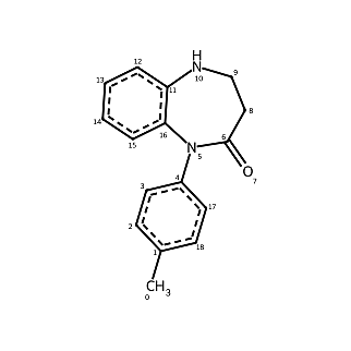 Cc1ccc(N2C(=O)CCNc3ccccc32)cc1